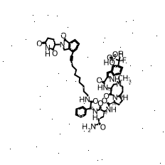 CN1CC[C@H]2CC[C@@H](C(=O)N[C@@H](CCC(N)=O)C(=O)N[C@@H](C(=O)NCCCCCCCCC#Cc3cccc4c3CN(C3CCC(=O)NC3=O)C4=O)c3ccccc3)N2C(=O)[C@@H](NC(=O)c2cc3cc(C(F)(F)P(=O)(O)O)ccc3[nH]2)C1